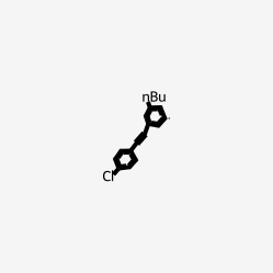 CCCCc1c[c]cc(C#Cc2ccc(Cl)cc2)c1